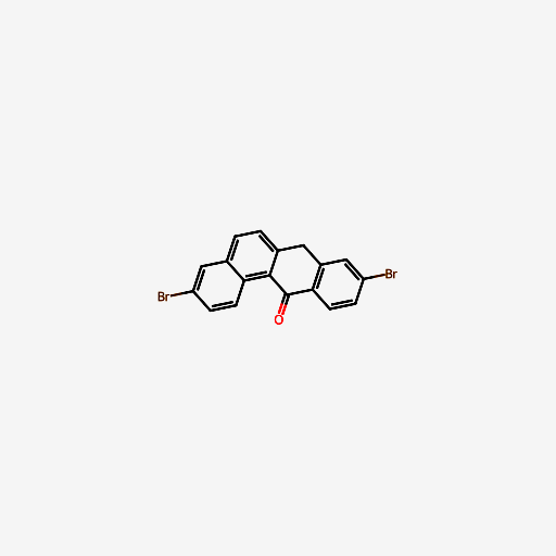 O=C1c2ccc(Br)cc2Cc2ccc3cc(Br)ccc3c21